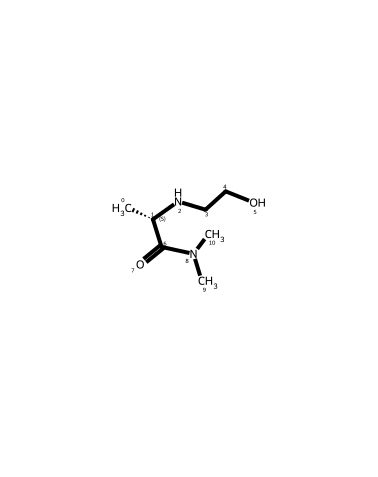 C[C@H](NCCO)C(=O)N(C)C